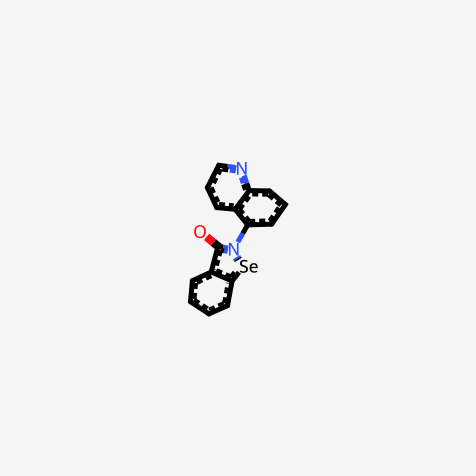 O=c1c2ccccc2[se]n1-c1cccc2ncccc12